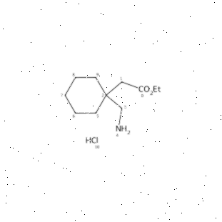 CCOC(=O)CC1(CN)CCCCC1.Cl